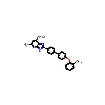 Cc1cc(C(=O)O)c2nc(-c3ccc(-c4ccc(Oc5ccccc5C)cc4)cc3)[nH]c2c1